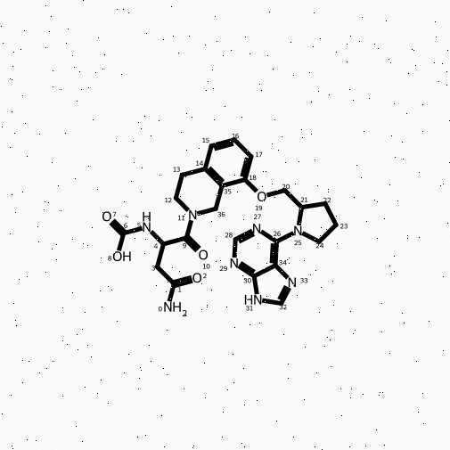 NC(=O)CC(NC(=O)O)C(=O)N1CCc2cccc(OCC3CCCN3c3ncnc4[nH]cnc34)c2C1